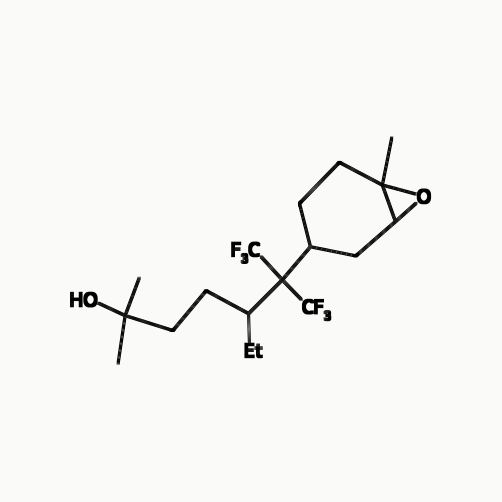 CCC(CCC(C)(C)O)C(C1CCC2(C)OC2C1)(C(F)(F)F)C(F)(F)F